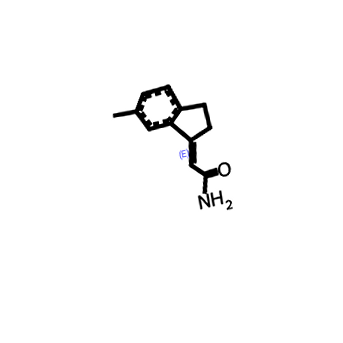 Cc1ccc2c(c1)/C(=C/C(N)=O)CC2